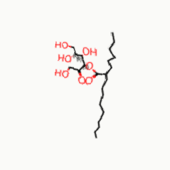 CCCCCCCCCC(CCCCCC)C(=O)O[C@H](C(=O)CO)[C@H](O)[C@H](O)CO